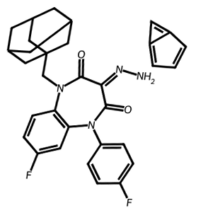 NN=c1c(=O)n(CC23CC4CC(CC(C4)C2)C3)c2ccc(F)cc2n(-c2ccc(F)cc2)c1=O.c1cc2cc-2c1